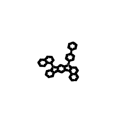 c1ccc(-c2ccc(-n3c4cc5c(cc4c4c6ccccc6ccc43)c3ccccc3n5-c3cccc4ccccc34)cc2)cc1